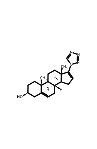 C[C@]12CC[C@H](O)CC1=CC[C@@H]1[C@@H]2CC[C@]2(C)C(n3cnnn3)=CC[C@@H]12